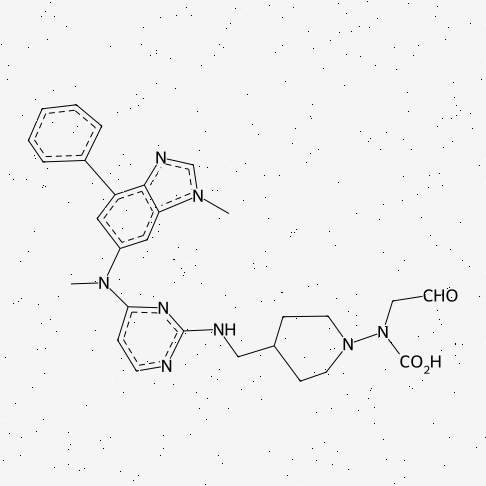 CN(c1cc(-c2ccccc2)c2ncn(C)c2c1)c1ccnc(NCC2CCN(N(CC=O)C(=O)O)CC2)n1